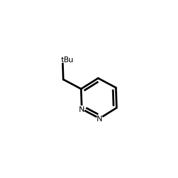 CC(C)(C)Cc1cccnn1